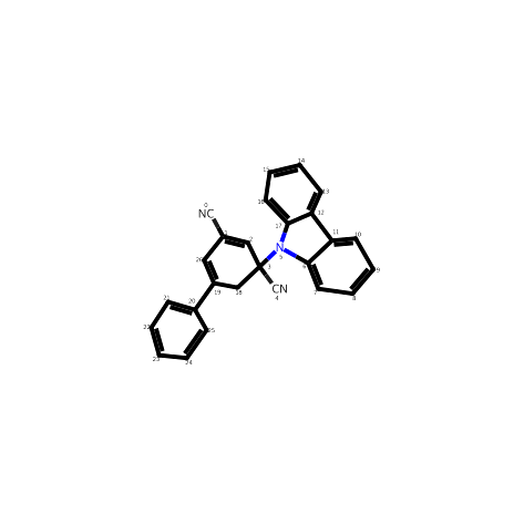 N#CC1=CC(C#N)(n2c3ccccc3c3ccccc32)CC(c2ccccc2)=C1